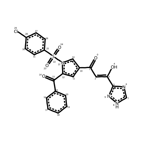 O=C(C=C(O)c1nc[nH]n1)c1cc(C(=O)c2ccccc2)n(S(=O)(=O)c2ccc(Cl)cc2)c1